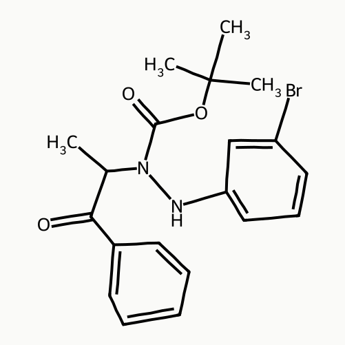 CC(C(=O)c1ccccc1)N(Nc1cccc(Br)c1)C(=O)OC(C)(C)C